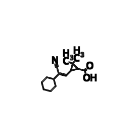 CC1(C)C(C=C(C#N)C2CCCCC2)C1C(=O)O